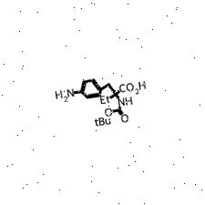 CCC(Cc1ccc(N)cc1)(NC(=O)OC(C)(C)C)C(=O)O